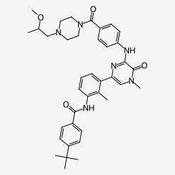 COC(C)CN1CCN(C(=O)c2ccc(Nc3nc(-c4cccc(NC(=O)c5ccc(C(C)(C)C)cc5)c4C)cn(C)c3=O)cc2)CC1